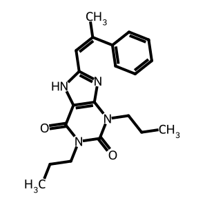 CCCn1c(=O)c2[nH]c(C=C(C)c3ccccc3)nc2n(CCC)c1=O